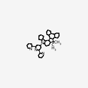 CC1(C)c2ccc3c(c2-c2c1c1ccccc1c1ccccc21)c1ccccc1n3-c1cc(-c2ccccn2)nc(-c2ccccn2)c1